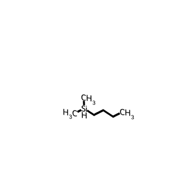 CCCC[SiH](C)C